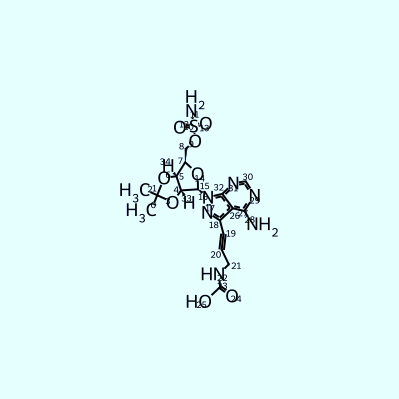 CC1(C)O[C@@H]2[C@H](O1)[C@@H](COS(N)(=O)=O)O[C@H]2n1nc(C#CCNC(=O)O)c2c(N)ncnc21